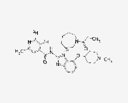 [2H]c1nc(C)cc(C(=O)Nc2nc3cccc(OC4CCN(C)CC4)c3n2[C@@H]2CCCCN(C(=O)C=C)C2)c1[2H]